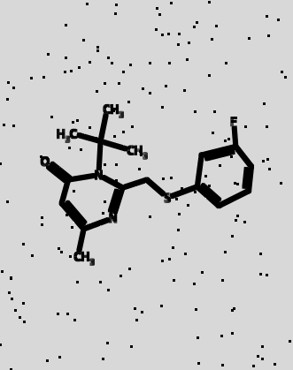 Cc1cc(=O)n(C(C)(C)C)c(CSc2cccc(F)c2)n1